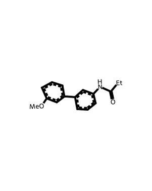 CCC(=O)Nc1cccc(-c2cccc(OC)c2)c1